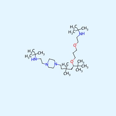 CC(C)(CCN1CCN(CCNC(C)(C)C)CC1)C[C@@H](OCCCOCCNC(C)(C)C)C(C)(C)C